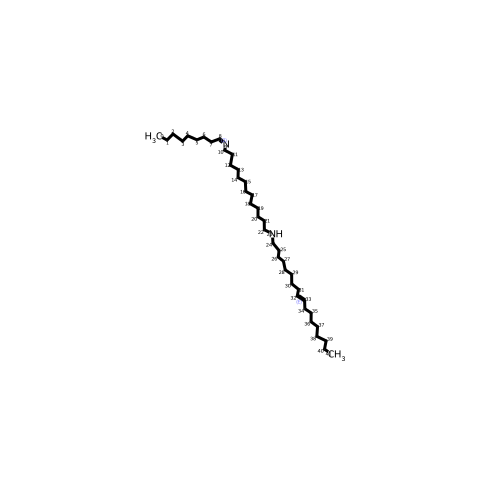 CCCCCCCC/C=N\CCCCCCCCCCCCCNCCCCCCCC/C=C/CCCCCCCC